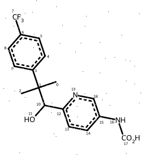 CC(C)(c1ccc(C(F)(F)F)cc1)C(O)c1ccc(NC(=O)O)cn1